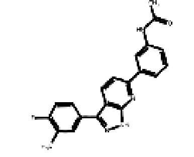 CC(=O)Nc1cccc(-c2ccc3c(-c4ccc(F)c(C)c4)n[nH]c3n2)c1